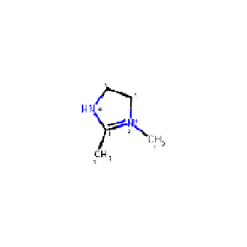 CC1=[N+](C)CCN1